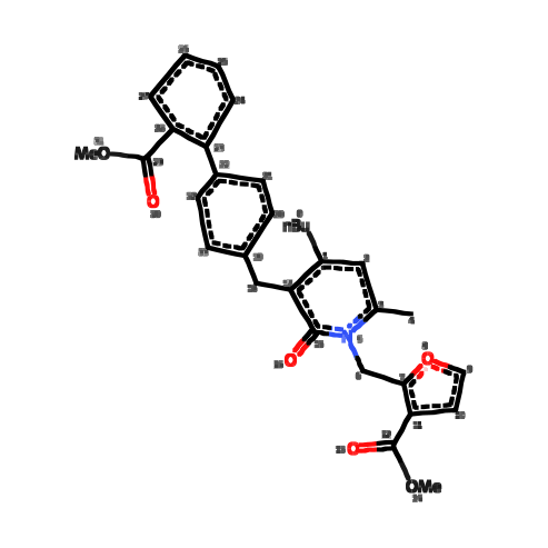 CCCCc1cc(C)n(Cc2occc2C(=O)OC)c(=O)c1Cc1ccc(-c2ccccc2C(=O)OC)cc1